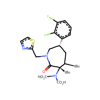 CC(C)(C)C1C[C@@H](c2cccc(F)c2F)CN(Cc2nccs2)C(=O)[C@]1(N(C(=O)O)C(=O)O)C(C)(C)C